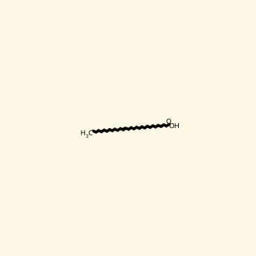 CCCCCCCCCCCCC=CCCCCCCCCCCCCCCCC(=O)O